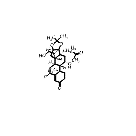 CC(C)=O.CC1(C)O[C@@H]2C[C@H]3[C@@H]4C[C@H](F)C5=CC(=O)CC[C@]5(C)[C@H]4[C@@H](O)C[C@]3(C)[C@]2(C(=O)CO)O1